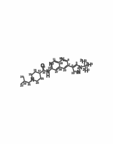 [2H]C([2H])([2H])n1cc(-c2cnc3cnc(NC(=O)C4CCN(CC(C)C)CC4)cc3c2)cn1